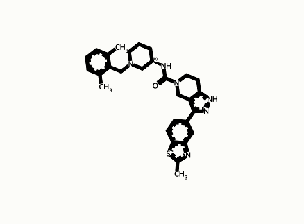 Cc1nc2cc(-c3n[nH]c4c3CN(C(=O)N[C@@H]3CCCN(Cc5c(C)cccc5C)C3)CC4)ccc2s1